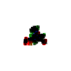 CC(C)(CO)C(=O)OCN(Cc1nn(CC(F)(F)F)c2c(-c3ccc(C#CC(C)(C)S(C)(=O)=O)nc3C(Cc3cc(F)cc(F)c3)NC(=O)Cn3nc(C(F)(F)F)c4c3C(F)(F)[C@@H]3C[C@H]43)ccc(Cl)c12)[SH](=O)=O